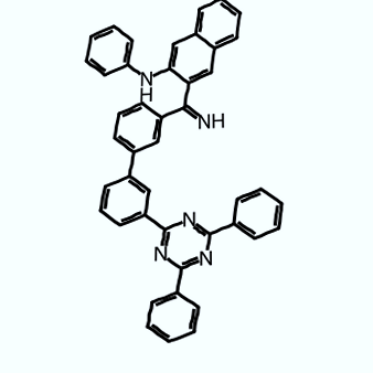 N=C(c1cccc(-c2cccc(-c3nc(-c4ccccc4)nc(-c4ccccc4)n3)c2)c1)c1cc2ccccc2cc1Nc1ccccc1